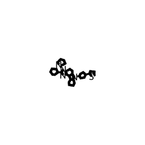 c1ccc(-c2nc3c4c5ccccc5n(-c5ccc(-c6cccs6)cc5)c4ccc3n2-c2ccccn2)cc1